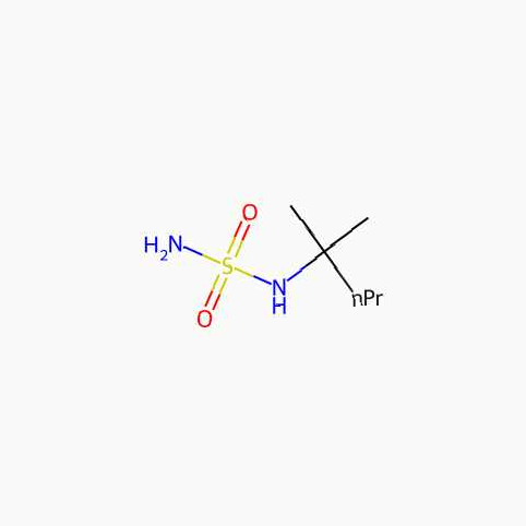 CCCC(C)(C)NS(N)(=O)=O